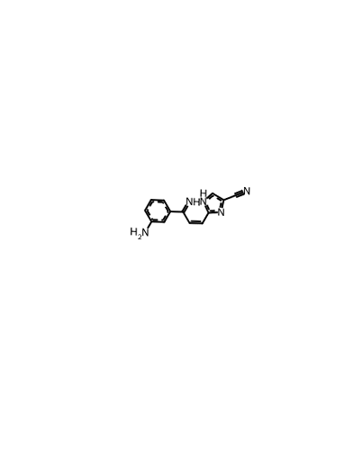 N#Cc1c[nH]c(/C=C\C(=N)c2cccc(N)c2)n1